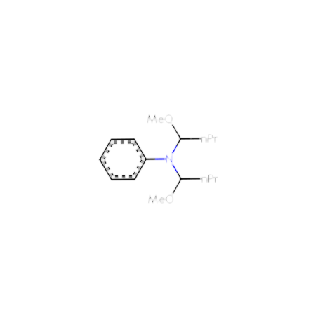 CCCC(OC)N(c1ccccc1)C(CCC)OC